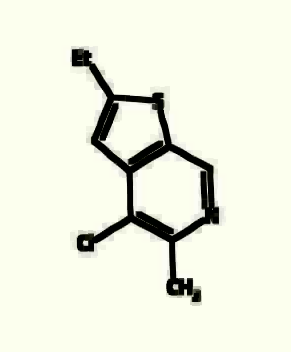 CCc1cc2c(Cl)c(C)ncc2s1